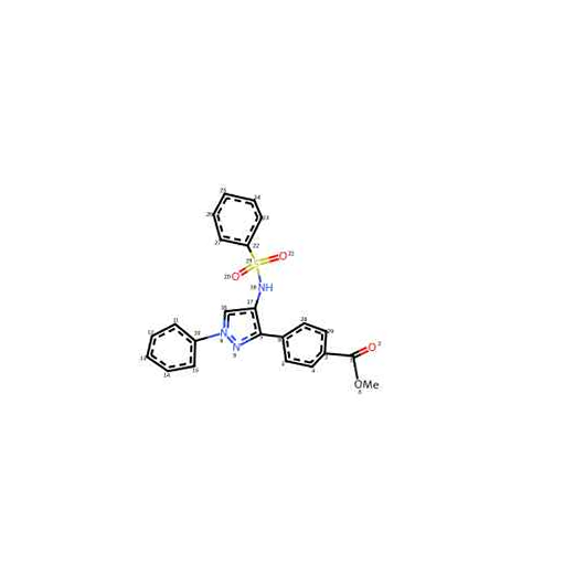 COC(=O)c1ccc(-c2nn(-c3ccccc3)cc2NS(=O)(=O)c2ccccc2)cc1